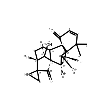 CC1(C)C=CC(=O)[C@]23CO[C@](O)([C@@H](O)C12)[C@]12C(=O)C4(CN4)[C@H](CCC31)[C@H]2O